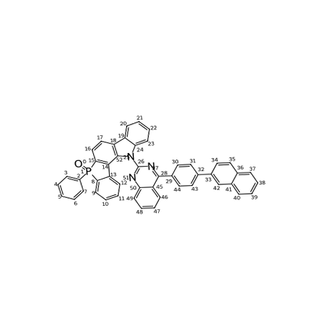 O=P1(c2ccccc2)c2ccccc2-c2c1ccc1c3ccccc3n(-c3nc(-c4ccc(-c5ccc6ccccc6c5)cc4)c4ccccc4n3)c21